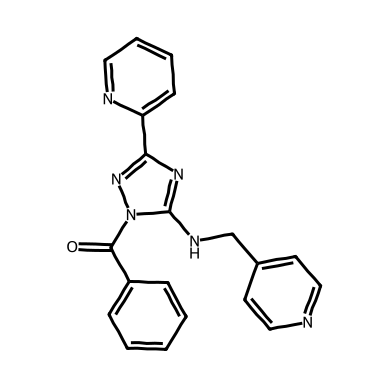 O=C(c1ccccc1)n1nc(-c2ccccn2)nc1NCc1ccncc1